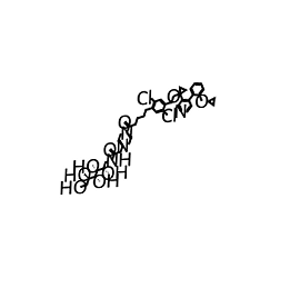 O=C(CN1CCN(C(=O)CCCCc2cc(Cl)c(COC3(c4cnccc4-c4ccccc4OC4CC4)CC3)cc2Cl)CC1)NC[C@H](O)[C@@H](O)[C@H](O)[C@H](O)CO